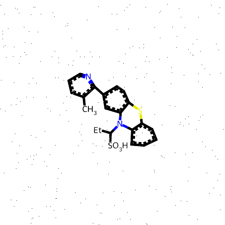 CCC(N1c2ccccc2Sc2ccc(-c3ncccc3C)cc21)S(=O)(=O)O